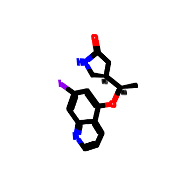 C[C@@H](Oc1cc(I)cc2ncccc12)[C@H]1CNC(=O)C1